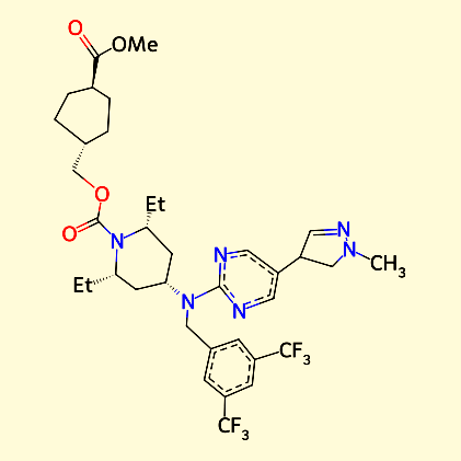 CC[C@@H]1C[C@H](N(Cc2cc(C(F)(F)F)cc(C(F)(F)F)c2)c2ncc(C3C=NN(C)C3)cn2)C[C@H](CC)N1C(=O)OC[C@H]1CC[C@H](C(=O)OC)CC1